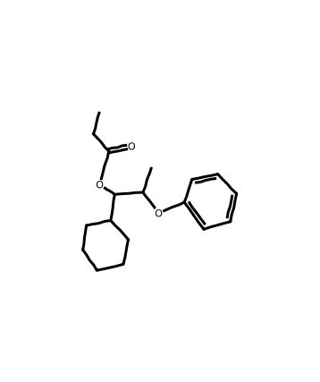 CCC(=O)OC(C1CCCCC1)C(C)Oc1ccccc1